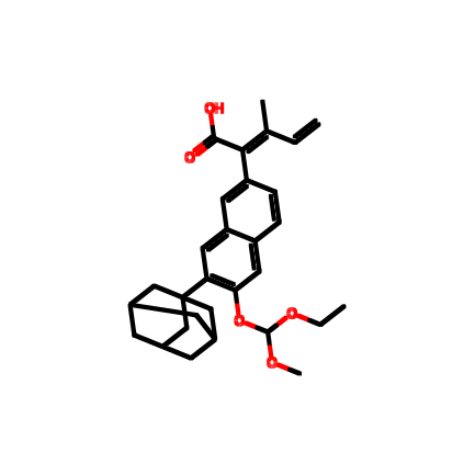 C=CC(C)=C(C(=O)O)c1ccc2cc(OC(OC)OCC)c(C34CC5CC(CC(C5)C3)C4)cc2c1